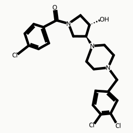 O=C(c1ccc(Cl)cc1)N1C[C@H](O)[C@@H](N2CCN(Cc3ccc(Cl)c(Cl)c3)CC2)C1